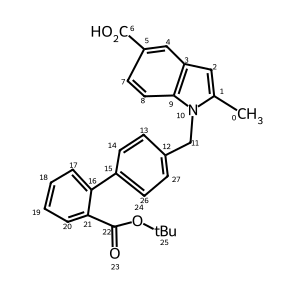 Cc1cc2cc(C(=O)O)ccc2n1Cc1ccc(-c2ccccc2C(=O)OC(C)(C)C)cc1